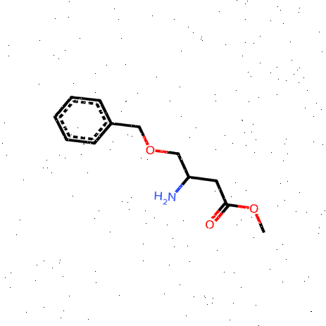 COC(=O)CC(N)COCc1ccccc1